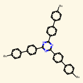 CCC(C)c1ccc(-c2ccc(-c3nc(-c4ccc(-c5ccc(C(C)CC)cc5)cc4)nc(-c4ccc(-c5ccc(C(C)CC)cc5)cc4)n3)cc2)cc1